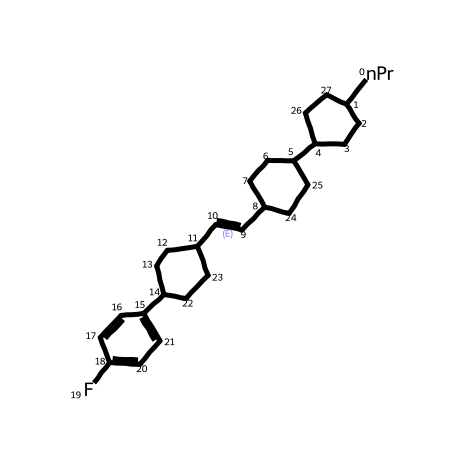 CCCC1CCC(C2CCC(/C=C/C3CCC(c4ccc(F)cc4)CC3)CC2)CC1